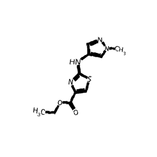 CCOC(=O)c1csc(Nc2cnn(C)c2)n1